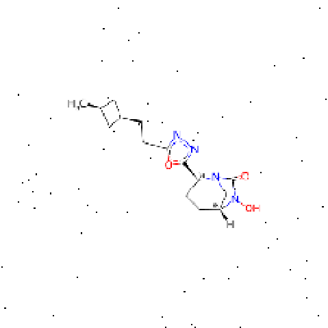 C[C@H]1C[C@@H](CCc2nnc([C@@H]3CC[C@@H]4CN3C(=O)N4O)o2)C1